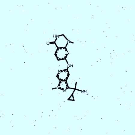 CN1CNC(=O)c2ccc(Nc3cc4c(C(C)(N)C5CC5)nn(C)c4cn3)nc21